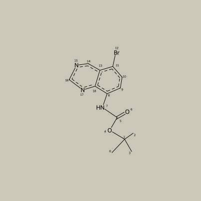 CC(C)(C)OC(=O)Nc1ccc(Br)c2cncnc12